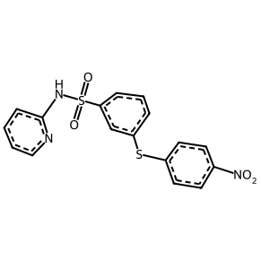 O=[N+]([O-])c1ccc(Sc2cccc(S(=O)(=O)Nc3ccccn3)c2)cc1